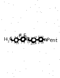 C=CC1CCC(c2ccc(OCC3C=CC(c4ccc(CCCCC)cc4)CC3)c(F)c2F)CC1